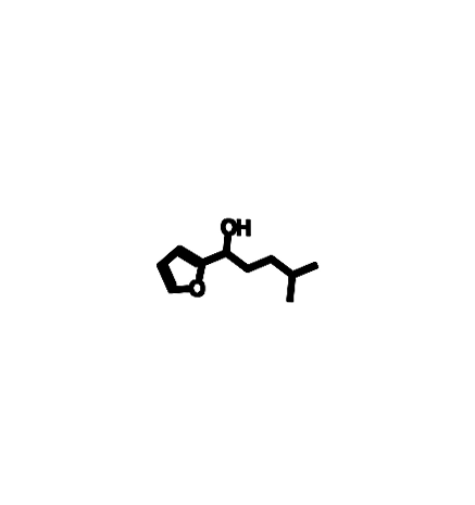 CC(C)CCC(O)c1ccco1